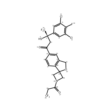 O=C(C[C@](S)(c1cc(Cl)c(F)c(Cl)c1)C(F)(F)F)c1ccc2c(c1)COC21CN(C(=O)CC(F)(F)F)C1